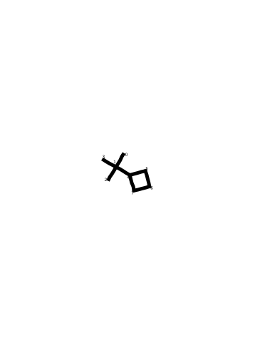 [CH2]C(C)(C)C1CCC1